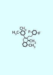 C=C1C(CCc2cc(F)ccc2F)=C(c2ccc(C)c(C)c2)Cc2cccc(C)c21